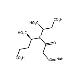 CCCCCCCCCCCC(=O)N(C(CC(=O)O)C(=O)O)[C@@H](CCC(=O)O)C(=O)O.[NaH]